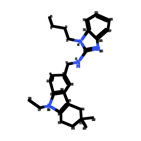 CCCCn1c(NCc2ccc3c(c2)c2c(n3CC)CCC(C)(C)C2)nc2ccccc21